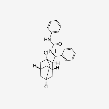 O=C(Nc1ccccc1)N[C@@H](c1ccccc1)[C@H]1[C@H]2C[C@@H]3C[C@](Cl)(C2)C[C@@]1(Cl)C3